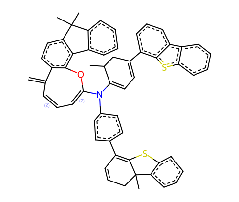 C=C1/C=C\C=C(\N(C2=CC=C(c3cccc4c3sc3ccccc34)CC2C)c2ccc(C3=C4Sc5ccccc5C4(C)CC=C3)cc2)Oc2c1ccc1c2-c2ccccc2C1(C)C